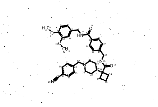 COc1ccc(CNC(=O)c2ccc(CNC(=O)C3(C4CCN(Cc5ccc(C#N)cc5)CC4)CCC3)cc2)cc1OC